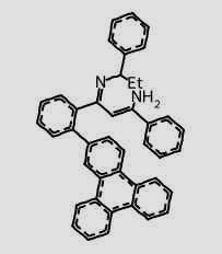 CCC(/N=C(\C=C(/N)c1ccccc1)c1ccccc1-c1ccc2c3ccccc3c3ccccc3c2c1)c1ccccc1